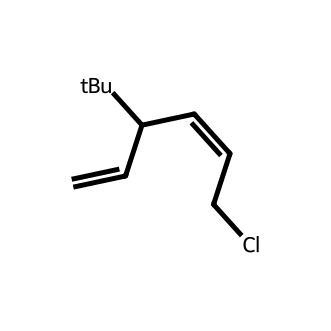 C=CC(/C=C\CCl)C(C)(C)C